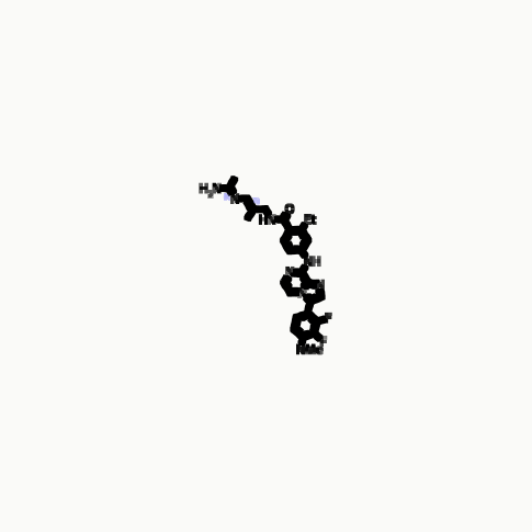 CCc1cc(Nc2nccn3c(-c4ccc(NC)c(F)c4F)cnc23)ccc1C(=O)NC/C(C)=C/N=C(\C)N